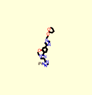 CC(C)n1ncnc1-c1cn2c(n1)-c1ccc(-c3cn(CCOC4CCCCO4)cn3)cc1OCC2